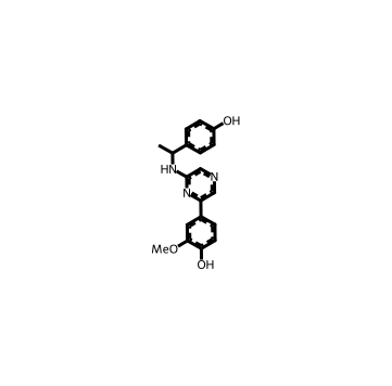 COc1cc(-c2cncc(NC(C)c3ccc(O)cc3)n2)ccc1O